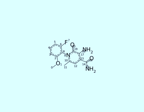 COc1cccc(F)c1-n1c(C)cc(C(N)=O)c(N)c1=O